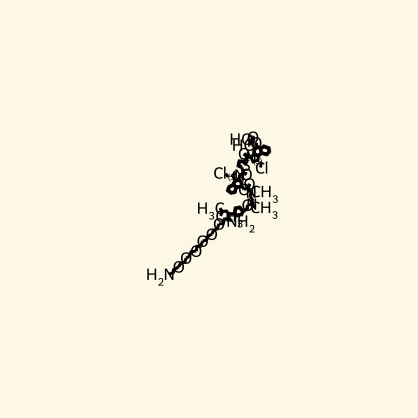 CC(C)CC(c1ccc(CON(C)CCN(C)C(=O)Oc2cc3c(c4ccccc24)[C@H](CCl)CN3C(=O)c2ccc(C(=O)N3C[C@@H](CCl)c4c3cc(OP(=O)(O)O)c3ccccc43)s2)cc1)C(N)CCOCCOCCOCCOCCOCCOCCN